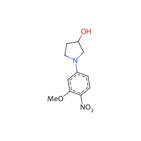 COc1cc(N2CCC(O)C2)ccc1[N+](=O)[O-]